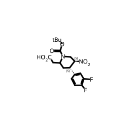 CC(C)(C)OC(=O)N1C[C@@H]([N+](=O)[O-])[C@H](c2ccc(F)c(F)c2)CC1CC(=O)O